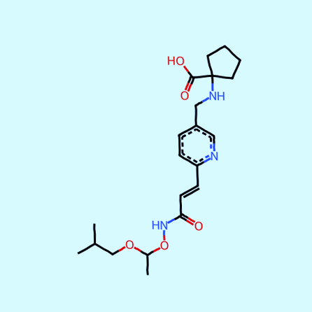 CC(C)COC(C)ONC(=O)C=Cc1ccc(CNC2(C(=O)O)CCCC2)cn1